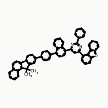 CC1(C)c2cc(-c3ccc(-c4ccc(-c5cc(-c6cccc7oc8ccccc8c67)nc(-c6ccccc6)n5)c5ccccc45)cc3)ccc2-c2ccc3ccccc3c21